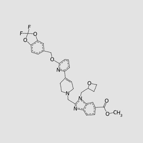 COC(=O)c1ccc2nc(CN3CC=C(c4cccc(OCc5ccc6c(c5)OC(F)(F)O6)n4)CC3)n(CC3CCO3)c2c1